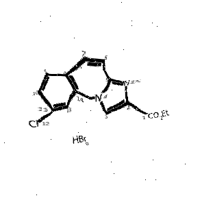 Br.CCOC(=O)c1cn2c(ccc3ccc(Cl)cc32)n1